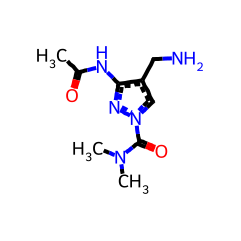 CC(=O)Nc1nn(C(=O)N(C)C)cc1CN